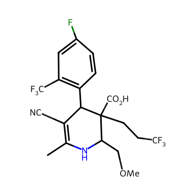 COCC1NC(C)=C(C#N)C(c2ccc(F)cc2C(F)(F)F)C1(CCC(F)(F)F)C(=O)O